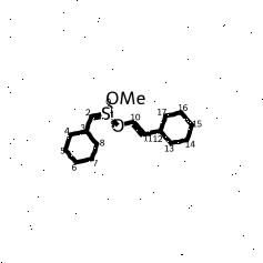 CO[Si](=CC1CCCCC1)OC=CC1CCCCC1